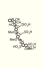 COc1cc(N=Nc2cc(OCCCS(=O)(=O)O)c(N=Nc3c(C)c(C#N)c4nc5ccccc5n4c3O)cc2OC)c(SCCCS(=O)(=O)O)cc1N=Nc1nc2c(S(=O)(=O)O)cc3c(OC)c(S(=O)(=O)O)c(S(=O)(=O)O)cc3c2s1